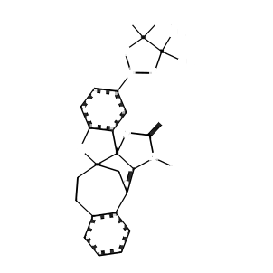 CN1C(=O)NC23C1=C1CC2(CCc2ccccc21)Oc1ccc(B2OC(C)(C)C(C)(C)O2)cc13